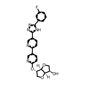 O[C@@H]1CO[C@H]2[C@@H]1OC[C@@H]2Oc1ccc(-c2ccc(-c3nnc(-c4cccc(F)c4)[nH]3)cn2)cn1